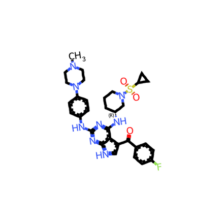 CN1CCN(c2ccc(Nc3nc(N[C@@H]4CCCN(S(=O)(=O)C5CC5)C4)c4c(C(=O)c5ccc(F)cc5)c[nH]c4n3)cc2)CC1